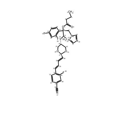 [CH2]CCC(=O)O[C@@](Cn1cncn1)(c1ccc(F)cc1F)[C@@H](C)S[C@H]1CO[C@H](/C=C/C=C/c2ccc(C#N)cc2F)OC1